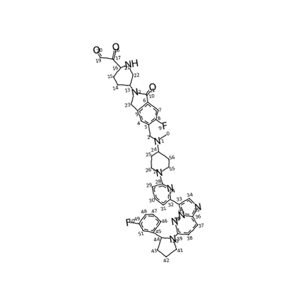 CN(Cc1cc2c(cc1F)C(=O)N(C1CCC(C(=O)C=O)NC1)C2)C1CCN(c2cccc(-c3cnc4ccc(N5CCCC5c5cccc(F)c5)nn34)n2)CC1